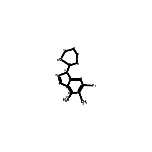 Cc1c(F)cc2c(cnn2C2CCCCO2)c1N